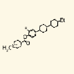 [CH2-][C+]1CCC(C(=O)Oc2ccc(C3CCC(C4CCC(CC)CC4)CC3)cc2F)CC1